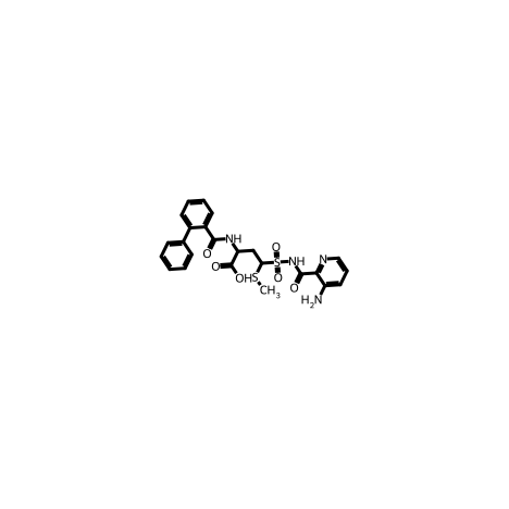 CSC(CC(NC(=O)c1ccccc1-c1ccccc1)C(=O)O)S(=O)(=O)NC(=O)c1ncccc1N